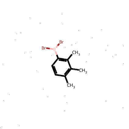 Cc1ccc(B(Br)Br)c(C)c1C